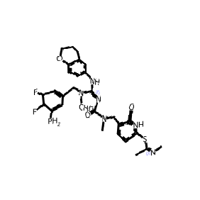 C/N=C(/C)Sc1ccc(CN(C)C(=O)/N=C(/Nc2ccc3c(c2)CCCO3)N(C=O)CC2=CC(F)C(F)C(P)=C2)c(=O)[nH]1